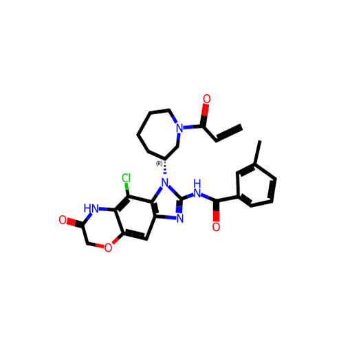 C=CC(=O)N1CCCC[C@@H](n2c(NC(=O)c3cccc(C)c3)nc3cc4c(c(Cl)c32)NC(=O)CO4)C1